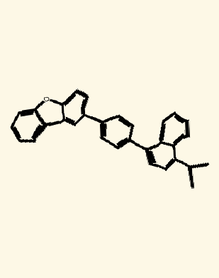 CC(C)c1ccc(-c2ccc(-c3ccc4oc5ccccc5c4c3)cc2)c2ccccc12